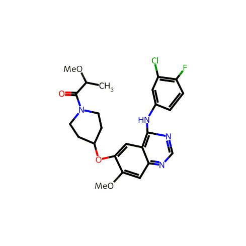 COc1cc2ncnc(Nc3ccc(F)c(Cl)c3)c2cc1OC1CCN(C(=O)C(C)OC)CC1